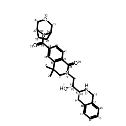 CC1(C)CN(C[C@@H](O)[C@@H]2Cc3ccccc3CN2)C(=O)c2ccc(C(=O)N3C4CCC3COC4)cc21